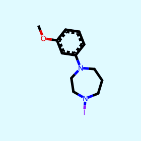 COc1cccc(N2CCCN(I)CC2)c1